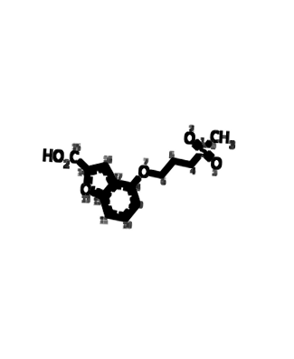 CS(=O)(=O)CCCOc1cccc2oc(C(=O)O)cc12